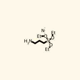 CCO[Si](CCCN)(OCC)OCC.[N]